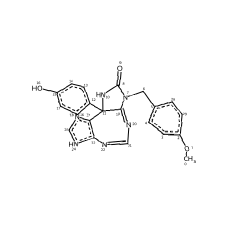 COc1ccc(CN2C(=O)NC3(c4ccc(O)cc4)C2=NC=Nc2[nH]cnc23)cc1